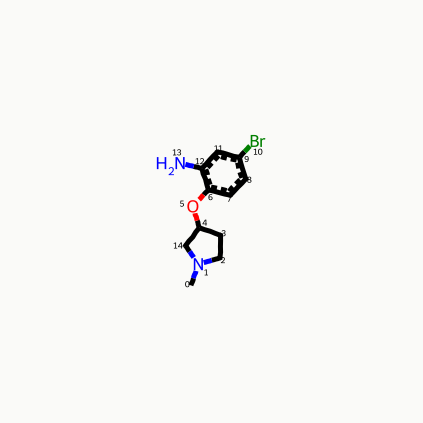 CN1CCC(Oc2ccc(Br)cc2N)C1